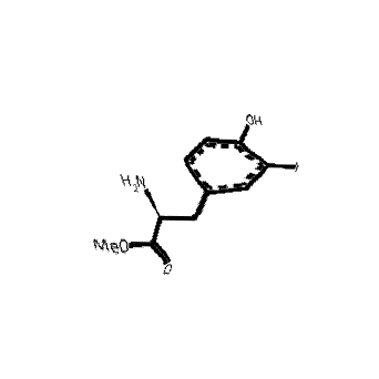 COC(=O)[C@@H](N)Cc1ccc(O)c(I)c1